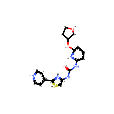 O=C(Nc1cccc(OC2CCOC2)n1)Nc1csc(-c2ccncc2)n1